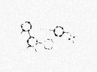 COc1ccc(NS(C)(=O)=O)cc1[C@H]1CN(c2nc(-c3ccncc3F)cc(=O)n2C)CCO1